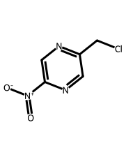 O=[N+]([O-])c1cnc(CCl)cn1